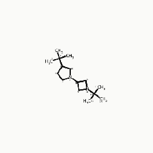 CC(C)(C)C1CCN(C2CN(C(C)(C)C)C2)C1